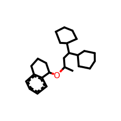 CC(CC(C1CCCCC1)C1CCCCC1)OC1CCCc2ccccc21